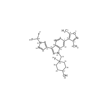 Cc1noc(C)c1-c1cnc2c(-c3cnn(C(F)F)c3)cn(CC3(F)CCC(O)CC3)c2c1